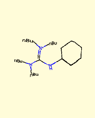 CCCCN(CCCC)C(NC1CCCCC1)=[N+](CCCC)CCCC